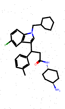 Cc1cccc(C(CC(=O)N[C@H]2CC[C@H](N)CC2)c2cn(CC3CCCCC3)c3ccc(F)cc23)c1